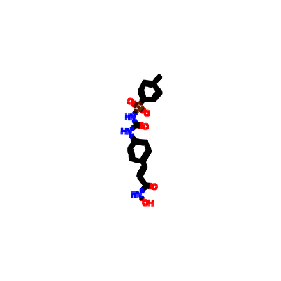 Cc1ccc(S(=O)(=O)NC(=O)Nc2ccc(C=CC(=O)NO)cc2)cc1